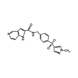 Cn1cc(S(=O)(=O)c2ccc(CNC(=O)c3cc4cnccc4[nH]3)cc2)cn1